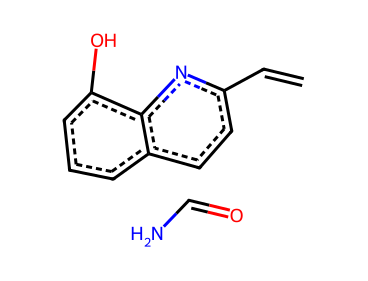 C=Cc1ccc2cccc(O)c2n1.NC=O